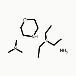 C1COCCN1.CCN(CC)CC.CN(C)C.N